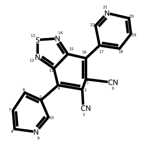 N#Cc1c(C#N)c(-c2cccnc2)c2nsnc2c1-c1cccnc1